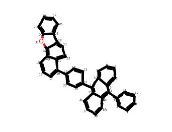 c1ccc(-c2c3ccccc3c(-c3ccc(-c4cccc5c4ccc4c6ccccc6oc54)cc3)c3ccccc23)cc1